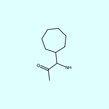 CC(=O)C([NH])C1CCCCCC1